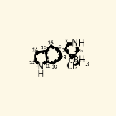 B.FCl.c1cc[nH]c1.c1ccc2[nH]ccc2c1